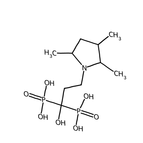 CC1CC(C)N(CCC(O)(P(=O)(O)O)P(=O)(O)O)C1C